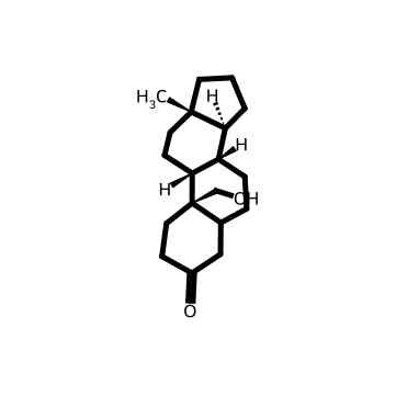 C[C@@]12CCC[C@H]1[C@@H]1CCC3CC(=O)CC[C@]3(CO)[C@@H]1CC2